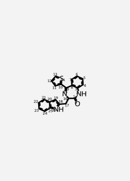 O=C1Nc2ccccc2C(c2cccs2)=NC1Cc1cc2ccccc2[nH]1